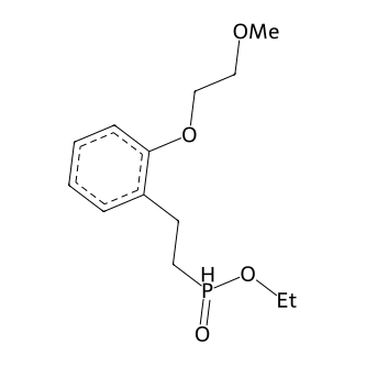 CCO[PH](=O)CCc1ccccc1OCCOC